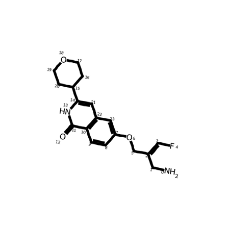 NCC(=CF)COc1ccc2c(=O)[nH]c(C3CCOCC3)cc2c1